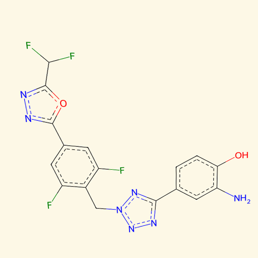 Nc1cc(-c2nnn(Cc3c(F)cc(-c4nnc(C(F)F)o4)cc3F)n2)ccc1O